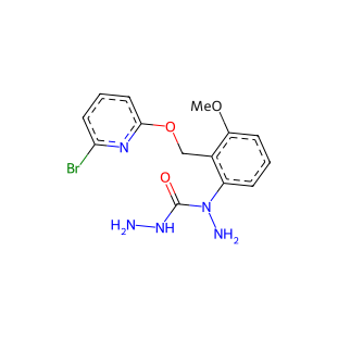 COc1cccc(N(N)C(=O)NN)c1COc1cccc(Br)n1